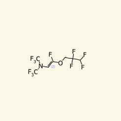 F/C(=C\N(C(F)(F)F)C(F)(F)F)OCC(F)(F)C(F)F